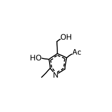 CC(=O)c1cnc(C)c(O)c1CO